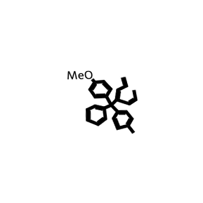 C=C/C=C(\C=C/C)C(c1ccccc1)(c1ccc(C)cc1)c1ccc(OC)cc1